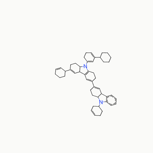 C1=CC(C2=CC3C4=C(CCC(C5=CC6c7ccccc7N(C7CC=CCC7)C6CC5)=C4)N(C4=CC(C5CCCCC5)=CCC4)C3CC2)CCC1